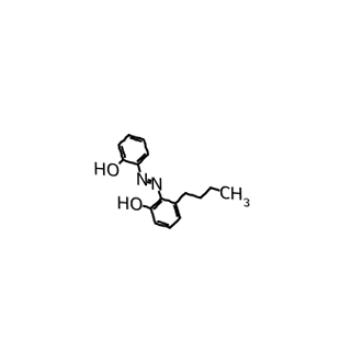 CCCCc1cccc(O)c1N=Nc1ccccc1O